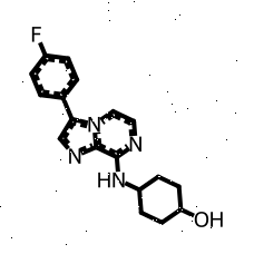 OC1CCC(Nc2nccn3c(-c4ccc(F)cc4)cnc23)CC1